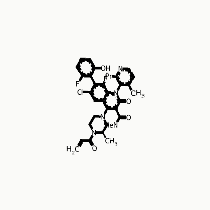 C=CC(=O)N1CCN(c2c(C(=O)NC)c(=O)n(-c3c(C)ccnc3C(C)C)c3c(F)c(-c4c(O)cccc4F)c(Cl)cc23)C[C@H]1C